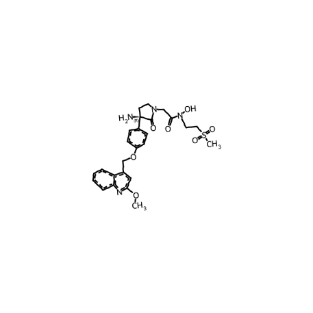 COc1cc(COc2ccc([C@]3(N)CCN(CC(=O)N(O)CCS(C)(=O)=O)C3=O)cc2)c2ccccc2n1